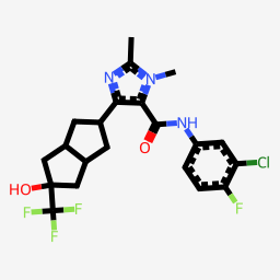 Cc1nc(C2CC3CC(O)(C(F)(F)F)CC3C2)c(C(=O)Nc2ccc(F)c(Cl)c2)n1C